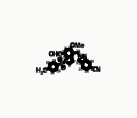 COc1cc(C=O)c2c(ccn2S(=O)(=O)c2ccc(C)cc2)c1Cn1cc2ccc(C#N)cc2n1